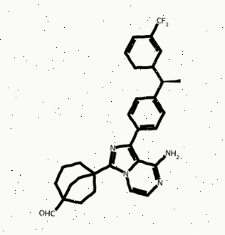 C[C@@H](c1ccc(-c2nc(C34CCCC(C=O)(CC3)CC4)n3ccnc(N)c23)cc1)C1C=C(C(F)(F)F)C=CC1